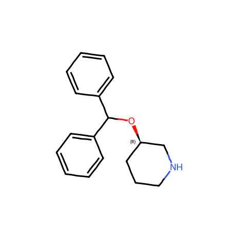 c1ccc(C(O[C@@H]2CCCNC2)c2ccccc2)cc1